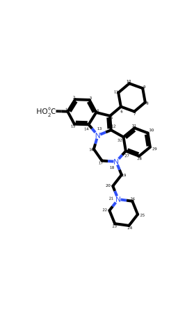 O=C(O)c1ccc2c(C3CCCCC3)c3n(c2c1)CCN(CCN1CCCCC1)c1ccccc1-3